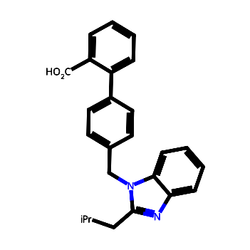 CC(C)Cc1nc2ccccc2n1Cc1ccc(-c2ccccc2C(=O)O)cc1